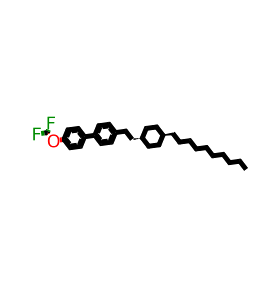 CCCCCCCCCC[C@H]1CC[C@H](CCc2ccc(-c3ccc(OC(F)F)cc3)cc2)CC1